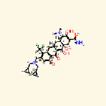 CN(C)[C@@H]1C(O)=C(C(N)=O)C[C@@]2(O)C(O)=C3C(=O)c4c(O)cc(CN(CC5CC5)CC5CC5)c(C(F)(F)F)c4C[C@H]3C[C@@H]12